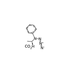 C[C@H](C(=O)O)N(N=[N+]=[N-])c1ccccc1